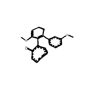 COC1=CC[CH]C(c2cccc(OC)c2)=C1c1ccccc1Cl